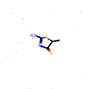 CC1SC(N)=NC1=O